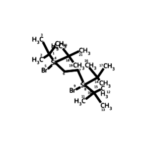 CC(C)(C)[Si](Br)(CC[Si](Br)(C(C)(C)C)C(C)(C)C)C(C)(C)C